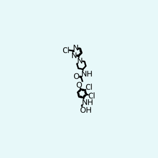 O=C(COc1ccc(NCO)c(Cl)c1Cl)NC1CCN(c2ccnc(Cl)n2)CC1